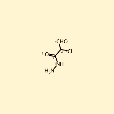 NNC(=O)C(Cl)C=O